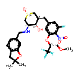 COC[C@@H](Oc1cc(C[C@@H]2C[S@@+]([O-])C[C@H](NCc3ccc4c(c3)OC(C)(C)C4)[C@H]2O)cc(F)c1[N+](=O)[O-])C(F)(F)F